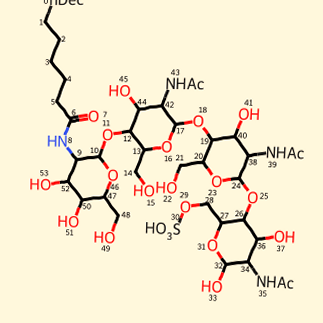 CCCCCCCCCCCCCCCC(=O)NC1C(OC2C(CO)OC(OC3C(CO)OC(OC4C(COS(=O)(=O)O)OC(O)C(NC(C)=O)C4O)C(NC(C)=O)C3O)C(NC(C)=O)C2O)OC(CO)C(O)C1O